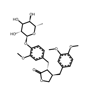 COc1ccc(C[C@H]2COC(=O)[C@@H]2Cc2ccc(O[C@@H]3O[C@@H](C)[C@H](O)C(O)[C@H]3O)c(OC)c2)cc1OC